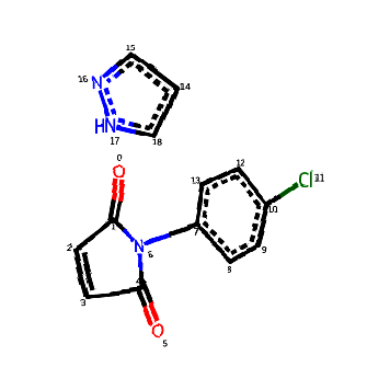 O=C1C=CC(=O)N1c1ccc(Cl)cc1.c1cn[nH]c1